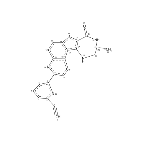 C#Cc1cccc(-c2ccc3c(ccc4sc5c(c43)NC[C@@H](C)NC5=O)n2)n1